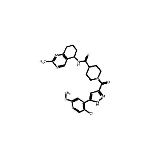 COc1cc(-c2cc(C(=O)N3CCC(C(=O)NC4CCCc5nc(C)ncc54)CC3)n[nH]2)c(Cl)cn1